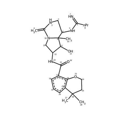 C=C1NCC(NC(=N)CCC)C2(C)C(O)C(NC(=O)c3cccc4c3OCCC4(C)C)CN12